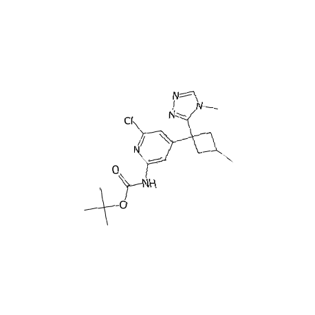 CC1CC(c2cc(Cl)nc(NC(=O)OC(C)(C)C)c2)(c2nncn2C)C1